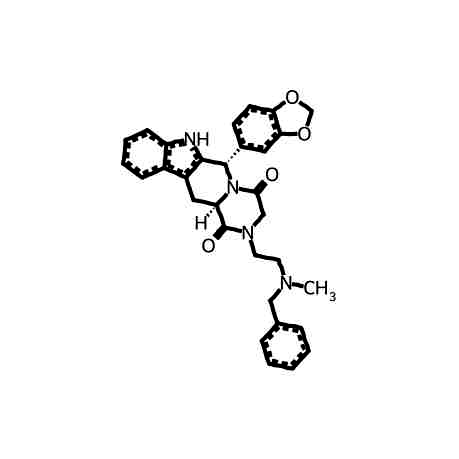 CN(CCN1CC(=O)N2[C@@H](c3ccc4c(c3)OCO4)c3[nH]c4ccccc4c3C[C@@H]2C1=O)Cc1ccccc1